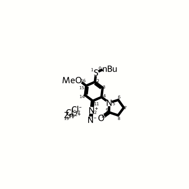 CCCCSC1=CC(N2CCCC2=O)C(=[N+]=[N-])C=C1OC.[Cl-].[Cl-].[Zn+2]